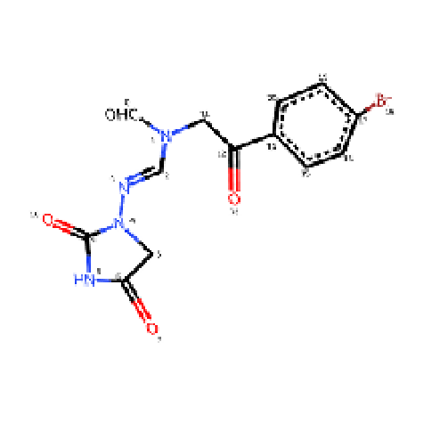 O=CN(C=NN1CC(=O)NC1=O)CC(=O)c1ccc(Br)cc1